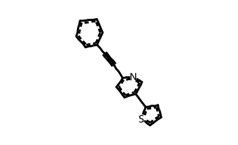 C(#Cc1ccc(-c2cccs2)cn1)c1ccccc1